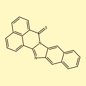 S=c1c2cccc3cccc(c32)c2nc3cc4ccccc4cc3n12